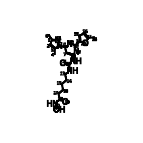 Cc1cc(C)n(-c2cc(NC(=O)NCCCCCC(=O)NO)nc(-c3ccc(C)o3)n2)n1